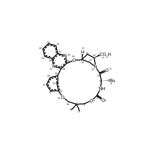 CC1(C)COC(=O)N[C@@H](C(C)(C)C)C(=O)N2C[C@@H](C[C@H]2C(=O)O)Oc2nc3ccccc3nc2-c2cccc(c2)OC1